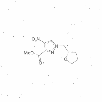 COC(=O)c1nn(CC2CCCO2)cc1[N+](=O)[O-]